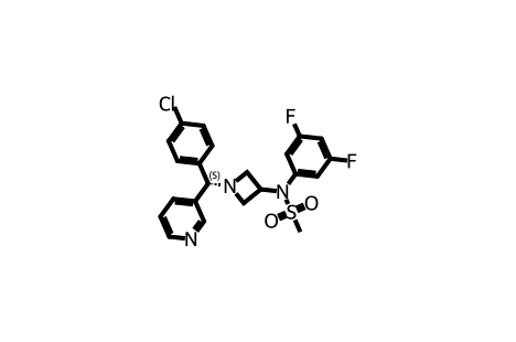 CS(=O)(=O)N(c1cc(F)cc(F)c1)C1CN([C@@H](c2ccc(Cl)cc2)c2cccnc2)C1